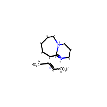 C1CCC2=NCCCN2CC1.O=C(O)/C=C/C(=O)O